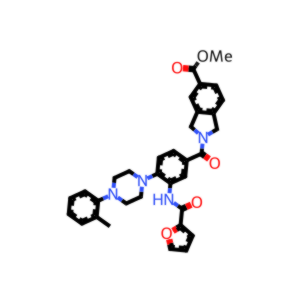 COC(=O)c1ccc2c(c1)CN(C(=O)c1ccc(N3CCN(c4ccccc4C)CC3)c(NC(=O)c3ccco3)c1)C2